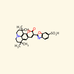 CC1(C)CCN2CCC(C)(C)c3c2c1cc1cc(-c2nc4ccc(S(=O)(=O)O)cc4o2)c(=O)oc31